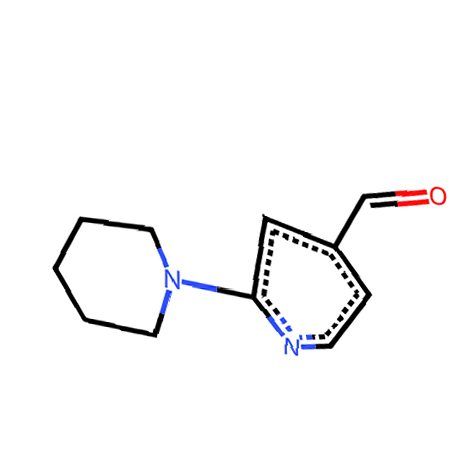 O=Cc1ccnc(N2CCCCC2)c1